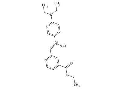 CCOC(=O)c1ccnc(C=[N+](O)c2ccc(N(CC)CC)cc2)c1